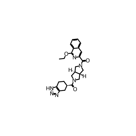 CCOc1nc(C(=O)N2C[C@@H]3CN(C(=O)[C@@H]4CCc5[nH]nnc5C4)C[C@H]3C2)cc2ccccc12